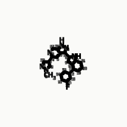 Cn1cc(-c2cc3c(-c4cc5c(-c6cccc(F)c6)cccc5[nH]4)n[nH]c3cn2)cn1